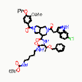 COc1cc(C(=O)N2CC3CN(C(=O)Cc4c[nH]c5cc(Cl)ccc45)CC(C(=O)N[C@H](C(=O)NCCCCCNC(=O)OC(C)(C)C)[C@H](C)OCc4ccccc4)C3C2)ccc1OC(C)C